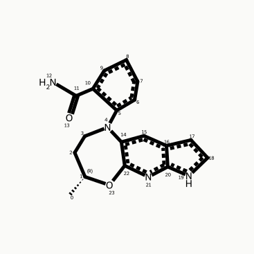 C[C@@H]1CCN(c2ccccc2C(N)=O)c2cc3cc[nH]c3nc2O1